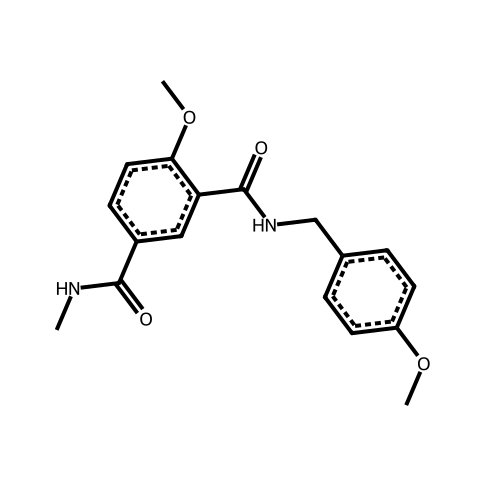 CNC(=O)c1ccc(OC)c(C(=O)NCc2ccc(OC)cc2)c1